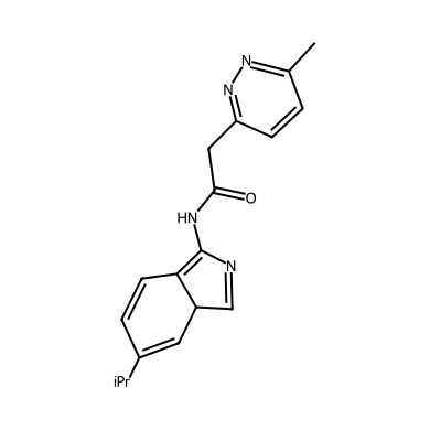 Cc1ccc(CC(=O)NC2=C3C=CC(C(C)C)=CC3C=N2)nn1